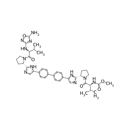 COC(=O)N[C@H](C(=O)N1CCC[C@H]1c1ncc(-c2ccc(-c3ccc(-c4cnc([C@@H]5CCCN5C(=O)[C@@H](Nc5noc(N)n5)C(C)C)[nH]4)cc3)cc2)[nH]1)C(C)C